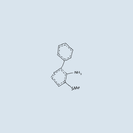 CSc1cccc(-c2ccccc2)c1N